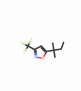 CCC(C)(C)c1cc(C(F)(F)F)no1